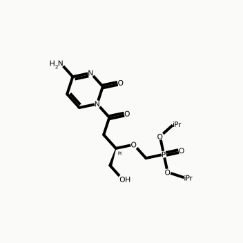 CC(C)OP(=O)(CO[C@@H](CO)CC(=O)n1ccc(N)nc1=O)OC(C)C